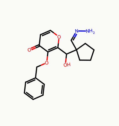 N/N=C\C1(C(O)c2occc(=O)c2OCc2ccccc2)CCCC1